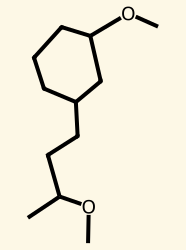 COC(C)CCC1CCCC(OC)C1